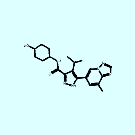 Cc1cc(-c2[nH]nc(C(=O)NC3CCC(O)CC3)c2C(C)C)cn2ncnc12